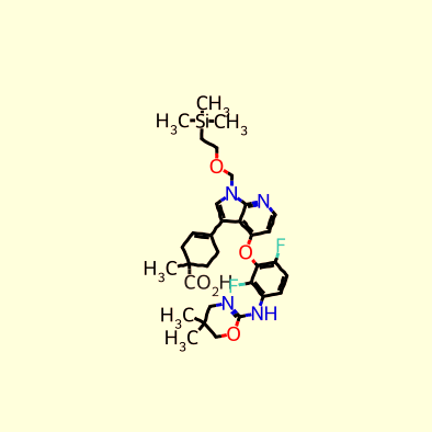 CC1(C)CN=C(Nc2ccc(F)c(Oc3ccnc4c3c(C3=CCC(C)(C(=O)O)CC3)cn4COCC[Si](C)(C)C)c2F)OC1